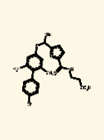 Cc1cc(SC(c2ccc(C(=O)NCCC(=O)O)s2)C(C)(C)C)cc(C)c1-c1ccc(C(F)(F)F)cc1